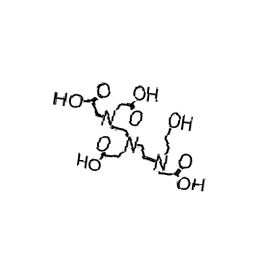 O=C(O)CN(CCO)CCN(CCN(CC(=O)O)CC(=O)O)CC(=O)O